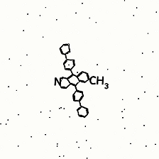 Cc1ccc2c(-c3ccc(-c4ccccc4)cc3)c3cnccc3c(-c3ccc(-c4ccccc4)cc3)c2c1